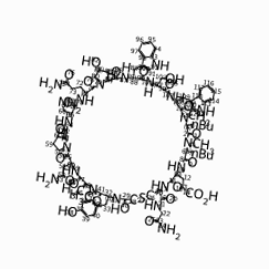 CCCC[C@H]1C(=O)N(C)[C@@H](CCCC)C(=O)N[C@@H](CCC(=O)O)C(=O)N[C@H](C(=O)NCC(N)=O)CSCC(=O)N[C@@H](Cc2ccc(O)cc2)C(=O)N(C)[C@@H](C)C(=O)N[C@@H](CC(N)=O)C(=O)N2CCC[C@H]2C(=O)N[C@@H](CN)C(=O)N[C@@H](CCC(N)=O)C(=O)N2C[C@H](O)C[C@H]2C(=O)N[C@@H](Cc2c[nH]c3ccccc23)C(=O)N[C@@H](CO)C(=O)N[C@@H](Cc2c[nH]c3ccccc23)C(=O)N1C